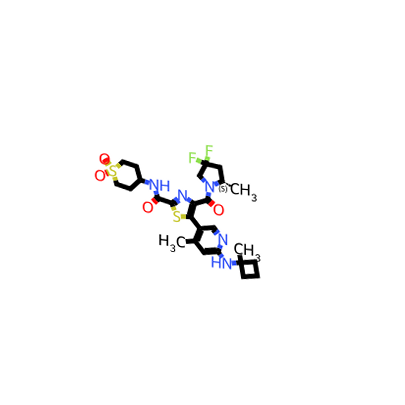 Cc1cc(NC2(C)CCC2)ncc1-c1sc(C(=O)NC2CCS(=O)(=O)CC2)nc1C(=O)N1CC(F)(F)C[C@@H]1C